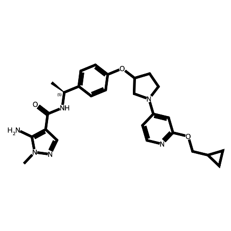 C[C@H](NC(=O)c1cnn(C)c1N)c1ccc(OC2CCN(c3ccnc(OCC4CC4)c3)C2)cc1